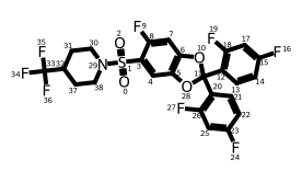 O=S(=O)(c1cc2c(cc1F)OC(c1ccc(F)cc1F)(c1ccc(F)cc1F)O2)N1CCC(C(F)(F)F)CC1